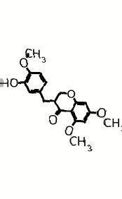 COc1cc(OC)c2c(c1)OCC(Cc1ccc(OC)c(O)c1)C2=O